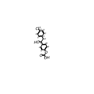 O=C(O)Oc1ccc(C(O)Cc2ccc(Cl)cc2)cc1